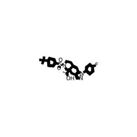 C[C@@H](O)C12Cc3cnn(-c4ccc(F)cc4)c3C=C1CCN(S(=O)(=O)c1ccc(C(C)(C)C)cc1)C2